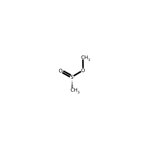 CO[S@](C)=O